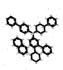 c1ccc(-c2ccc(N(c3ccc(C4CCCC[C@@H]4c4ccc5ccccc5c4)c(-c4ccccc4)c3)C3CCC(c4ccccc4)CC3)cc2)cc1